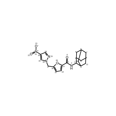 O=C(NC1C2CC3CC(C2)CC1C3)c1ccc(Cn2cc([N+](=O)[O-])cn2)o1